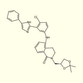 CC1(C)OC[C@H](CN2CCc3c(Nc4ccc(Cl)c(-c5ncc(-c6ccccc6)[nH]5)c4)cccc3C2=O)O1